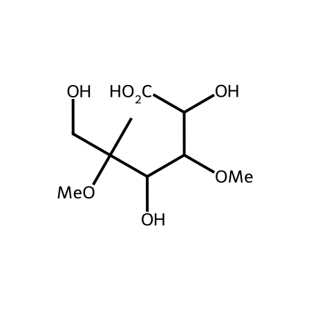 COC(C(O)C(=O)O)C(O)C(C)(CO)OC